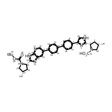 C[C@H]1C[C@@H](c2nc(-c3ccc(-c4ccc(-c5cnc6[nH]c([C@@H]7C[C@H](C)CN7C(=O)OC(C)(C)C)nc6c5)cc4)cc3)c[nH]2)N(C(=O)O)C1